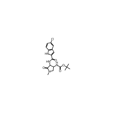 CN1CC(NC(=O)OC(C)(C)C)C(NC(=O)c2cc3cc(Cl)ccc3[nH]2)C1=O